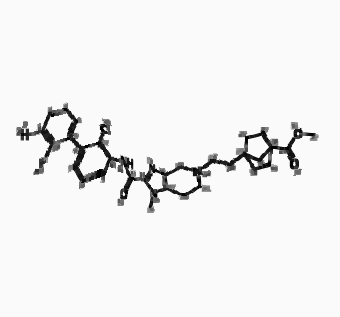 [2H]c1cccc(-c2cccc(NC(=O)c3nc4c(n3C)CCN(CCC35CCC(C(=O)OC)(CC3)C5)C4)c2Cl)c1F